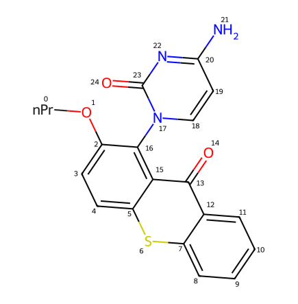 CCCOc1ccc2sc3ccccc3c(=O)c2c1-n1ccc(N)nc1=O